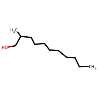 CCCCCCCCC[C](C)CO